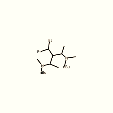 CCCCN(C)C(C)C(C(CC)CC)C(C)N(C)CCCC